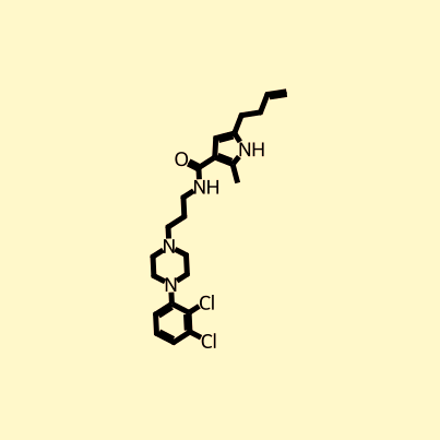 C=CCCc1cc(C(=O)NCCCN2CCN(c3cccc(Cl)c3Cl)CC2)c(C)[nH]1